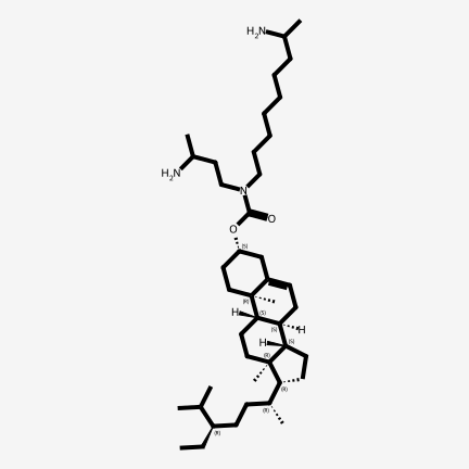 CC[C@H](CC[C@@H](C)[C@H]1CC[C@H]2[C@@H]3CC=C4C[C@@H](OC(=O)N(CCCCCCCC(C)N)CCC(C)N)CC[C@]4(C)[C@H]3CC[C@]12C)C(C)C